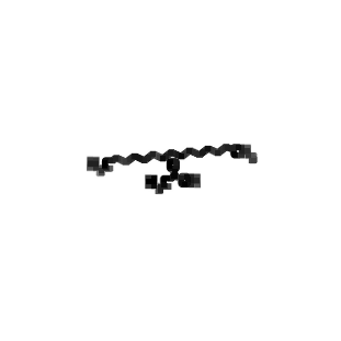 CC(=O)O.CCCCCCCCCCCCCCC